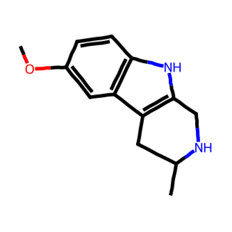 COc1ccc2[nH]c3c(c2c1)CC(C)NC3